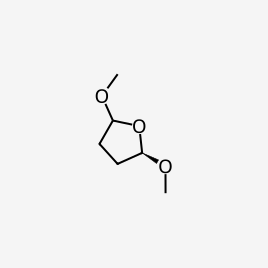 COC1CC[C@H](OC)O1